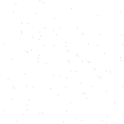 CC1(C)CC(Nc2nc(Nc3ccc4c(c3)OCC(C(=O)N3CCOCC3)O4)ncc2F)CC(C)(C)N1